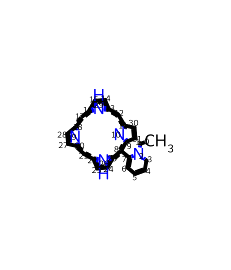 CCN1CC=CC=C1c1c2nc(cc3ccc(cc4nc(cc5ccc1[nH]5)C=C4)[nH]3)C=C2